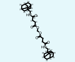 O=C(CCC(=O)OCOC(=O)CCC(=O)NCC12CC3CC(CC(C3)C1)C2)NCC12CC3CC(CC(C3)C1)C2